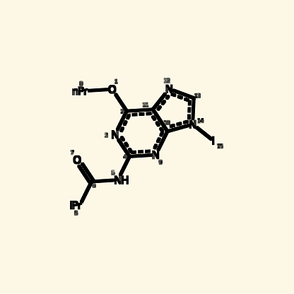 CCCOc1nc(NC(=O)C(C)C)nc2c1ncn2I